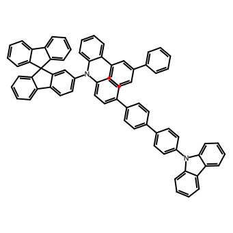 c1ccc(-c2cccc(-c3ccccc3N(c3ccc(-c4ccc(-c5ccc(-n6c7ccccc7c7ccccc76)cc5)cc4)cc3)c3ccc4c(c3)C3(c5ccccc5-c5ccccc53)c3ccccc3-4)c2)cc1